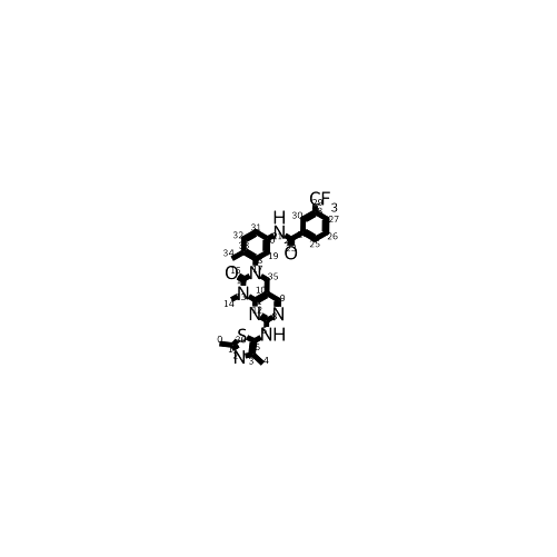 Cc1nc(C)c(Nc2ncc3c(n2)N(C)C(=O)N(c2cc(NC(=O)c4cccc(C(F)(F)F)c4)ccc2C)C3)s1